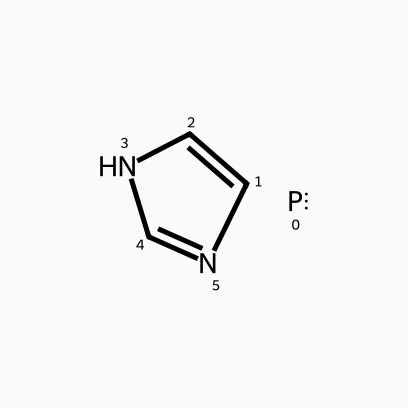 [P].c1c[nH]cn1